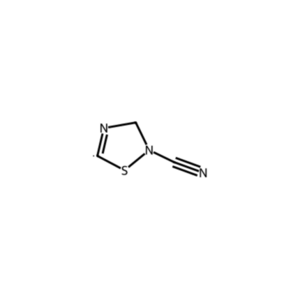 N#CN1CN=[C]S1